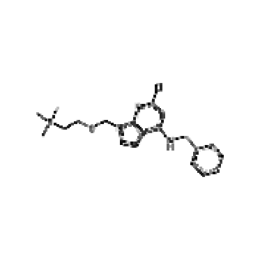 C[Si](C)(C)CCOCn1ccc2c(NCc3ccccc3)cc(Cl)nc21